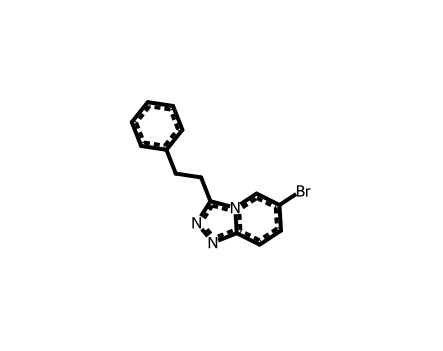 Brc1ccc2nnc(CCc3ccccc3)n2c1